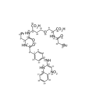 CC(C)CC(NC(=O)Cc1ccc(NC(=C[N+](=O)[O-])Nc2ccccc2)cc1)C(=O)NC(CCOCC(NC(=O)CC(C)(C)C)C(=O)O)C(=O)O